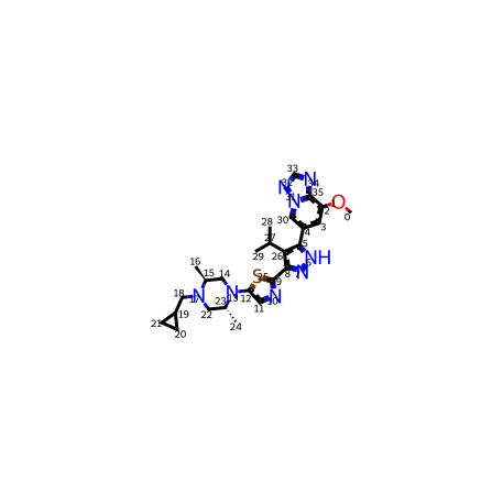 COc1cc(-c2[nH]nc(-c3ncc(N4C[C@H](C)N(CC5CC5)C[C@H]4C)s3)c2C(C)C)cn2ncnc12